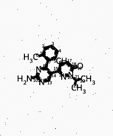 Cc1cccc(C)c1-c1nc(N)ncc1-c1ccc(=O)n(C(C)C)n1